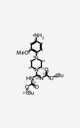 COc1cc(N)ccc1N1CCN(/C(=N\C(=O)OC(C)(C)C)NC(=O)OC(C)(C)C)CC1